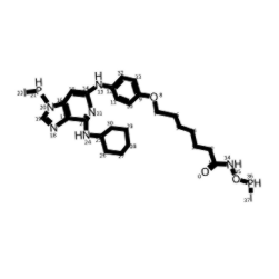 O=C(CCCCCCOc1ccc(Nc2cc3c(ncn3PI)c(NC3CCCCC3)n2)cc1)NOPI